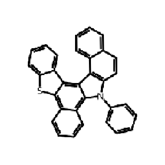 c1ccc(-n2c3ccc4ccccc4c3c3c4c5ccccc5sc4c4ccccc4c32)cc1